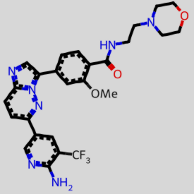 COc1cc(-c2cnc3ccc(-c4cnc(N)c(C(F)(F)F)c4)nn23)ccc1C(=O)NCCN1CCOCC1